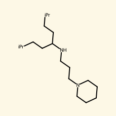 CC(C)CCC(CCC(C)C)NCCCN1CCCCC1